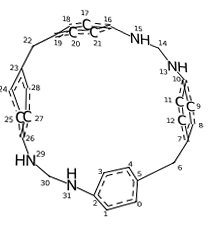 c1cc2ccc1Cc1ccc(cc1)NCNc1ccc(cc1)Cc1ccc(cc1)NCN2